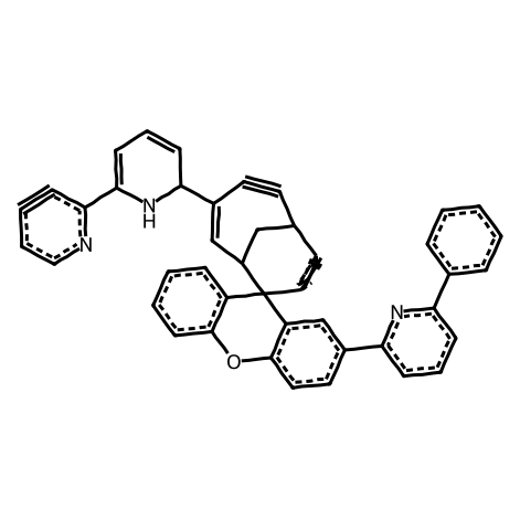 C1#CC2CC(C=C1C1C=CC=C(c3c#cccn3)N1)C1(c3ccccc3Oc3ccc(-c4cccc(-c5ccccc5)n4)cc31)c1ccccc12